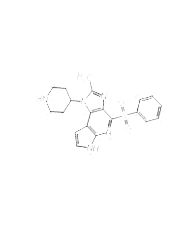 Cc1nc2c(S(=O)(=O)c3ccccc3)nc3[nH]ccc3c2n1C1CCNCC1